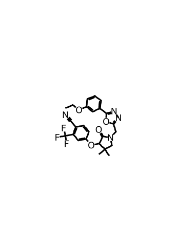 CCOc1cccc(-c2nnc(CN3CC(C)(C)C(Oc4ccc(C#N)c(C(F)(F)F)c4)C3=O)o2)c1